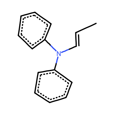 CC=CN(c1ccccc1)c1ccccc1